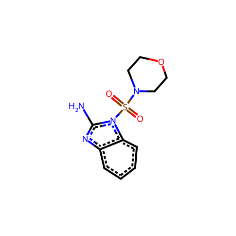 Nc1nc2ccccc2n1S(=O)(=O)N1CCOCC1